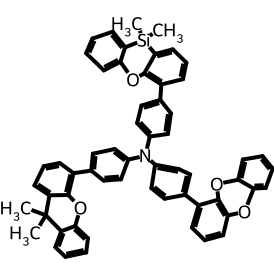 CC1(C)c2ccccc2Oc2c(-c3ccc(N(c4ccc(-c5cccc6c5Oc5ccccc5O6)cc4)c4ccc(-c5cccc6c5Oc5ccccc5[Si]6(C)C)cc4)cc3)cccc21